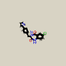 O=C1NC(Cc2ccc(C3=CCC=N3)cc2)C(=O)Nc2ccc(Cl)cc21